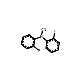 N#CN(c1ccccc1F)c1ccccc1F